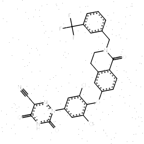 N#Cc1nn(-c2cc(Cl)c(Oc3ccc4c(c3)CCN(Cc3cccc(C(F)(F)F)c3)C4=O)c(Cl)c2)c(=O)[nH]c1=O